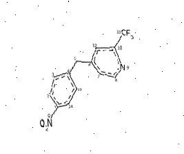 O=[N+]([O-])c1ccc(Cc2ccnc(C(F)(F)F)c2)cc1